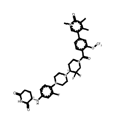 Cc1c(-c2ccc(C(=O)N3CC[C@H](N4CCN(c5ccc(N[C@H]6CCC(=O)NC6=O)cc5F)CC4)C(F)(F)C3)c(OC(F)(F)F)c2)cn(C)c(=O)c1C